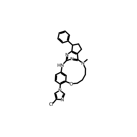 CN1CCCCOc2cc(ccc2-n2cnc(Cl)c2)Nc2nc3c(c1n2)CCC3c1ccccc1